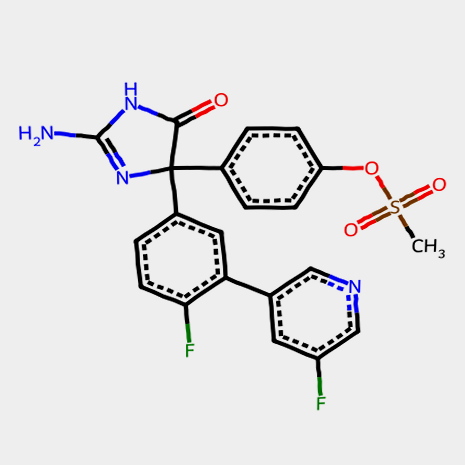 CS(=O)(=O)Oc1ccc(C2(c3ccc(F)c(-c4cncc(F)c4)c3)N=C(N)NC2=O)cc1